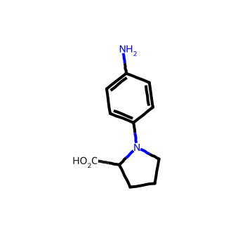 Nc1ccc(N2CCCC2C(=O)O)cc1